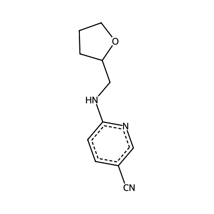 N#Cc1ccc(NCC2CCCO2)nc1